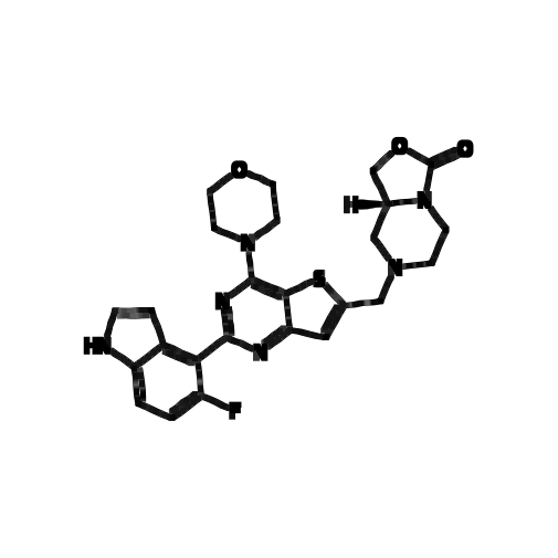 O=C1OC[C@H]2CN(Cc3cc4nc(-c5c(F)ccc6[nH]ccc56)nc(N5CCOCC5)c4s3)CCN12